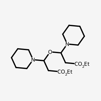 CCOC(=O)CC(OC(CC(=O)OCC)N1CCCCC1)N1CCCCC1